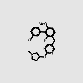 COc1ccc(Cc2cnc(OC3CCN(C)C3)nc2)c(F)c1-c1cccc(Cl)c1